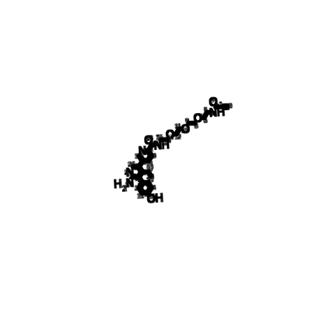 C#CC(=O)NCCOCCOCCOCCNC(=O)c1ccc(-c2cnc(N)c(-c3ccc(O)cc3)c2CC)cn1